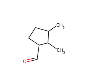 CC1CCC(C=O)C1C